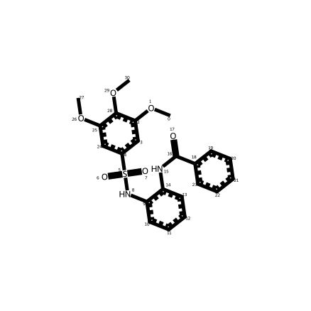 COc1cc(S(=O)(=O)Nc2ccccc2NC(=O)c2ccccc2)cc(OC)c1OC